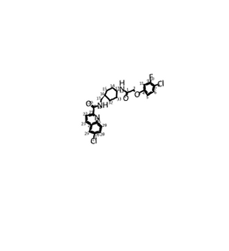 O=C(COc1ccc(Cl)c(F)c1)N[C@H]1CC[C@H](CNC(=O)c2ccc3cc(Cl)ccc3n2)CC1